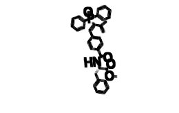 C=C(C)/C(=C\c1ccc(C(=O)N[C@@H](Cc2ccccc2)C(=O)OC)cc1)P(=O)(c1ccccc1)c1ccccc1